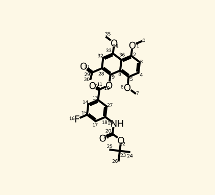 COc1ccc(OC)c2c(OC(=O)c3cc(F)cc(NC(=O)OC(C)(C)C)c3)c(C(C)=O)cc(OC)c12